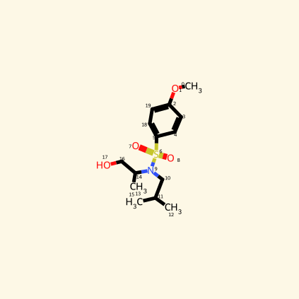 COc1ccc(S(=O)(=O)N(CC(C)C)C(C)CO)cc1